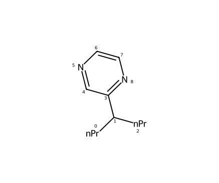 CCCC(CCC)c1cnccn1